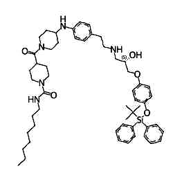 CCCCCCCCNC(=O)N1CCC(C(=O)N2CCC(Nc3ccc(CCNC[C@H](O)COc4ccc(O[Si](c5ccccc5)(c5ccccc5)C(C)(C)C)cc4)cc3)CC2)CC1